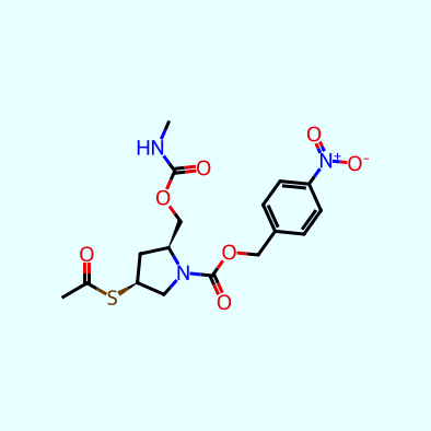 CNC(=O)OC[C@@H]1C[C@H](SC(C)=O)CN1C(=O)OCc1ccc([N+](=O)[O-])cc1